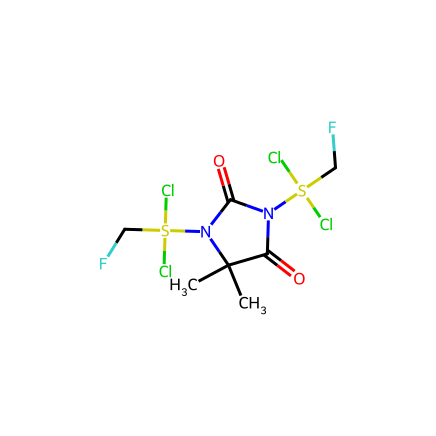 CC1(C)C(=O)N(S(Cl)(Cl)CF)C(=O)N1S(Cl)(Cl)CF